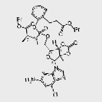 CC(C)OC(=O)CCc1ccccc1OP(=O)(N[C@@H](C)C(=O)OC(C)C)OC[C@H]1O[C@@H](n2cnc3c(Cl)nc(N)nc32)C2(C)OC(=O)O[C@@H]12